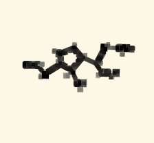 CON=C(C(=O)O)c1csc(=NC=O)n1O